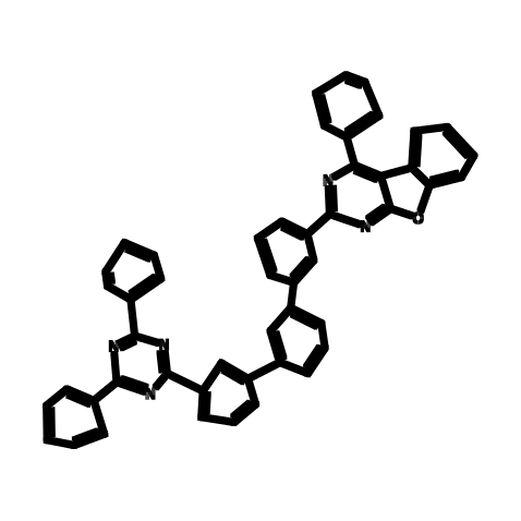 c1ccc(-c2nc(-c3ccccc3)nc(-c3cccc(-c4cccc(-c5cccc(-c6nc(-c7ccccc7)c7c(n6)oc6ccccc67)c5)c4)c3)n2)cc1